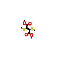 COC(=O)/C(SC)=C(\SC)C(=O)OC